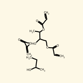 C=C1OC1=O.C=CC(=O)OCC(O)C(C)OC(=O)C=C.CCC(C)O